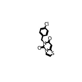 O=c1cc2sccn2c(=O)n1Cc1ccc(Cl)cc1